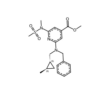 COC(=O)c1cc(N(Cc2ccccc2)C[C@@H]2C[C@H]2C)nc(N(C)S(C)(=O)=O)c1